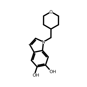 Oc1cc2[c]cn(CC3CCOCC3)c2cc1O